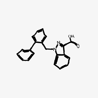 O=C(O)c1nn(Cc2ccccc2-c2ccccc2)c2ccccc12